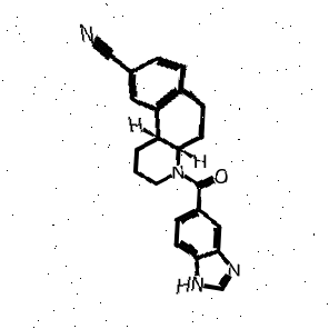 N#Cc1ccc2c(c1)[C@H]1CCCN(C(=O)c3ccc4[nH]cnc4c3)[C@H]1CC2